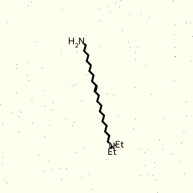 CCN(CC)CCCCCCCCCCC=CCCCCCCCCN